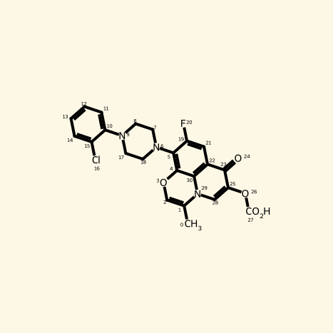 CC1=COc2c(N3CCN(c4ccccc4Cl)CC3)c(F)cc3c(=O)c(OC(=O)O)cn1c23